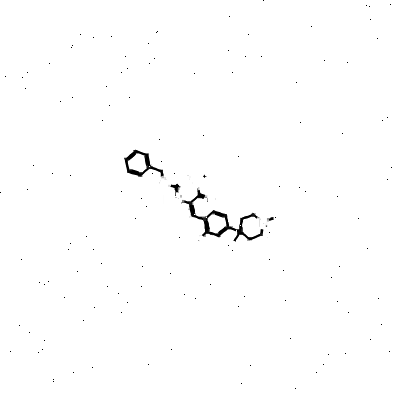 COC(=O)/C(=C\c1ccc(C2(C)CCN(C)CC2)cc1F)NC(=O)OCc1ccccc1